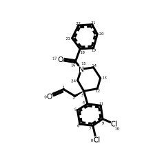 O=CC[C@]1(c2ccc(Cl)c(Cl)c2)CCCN(C(=O)c2ccccc2)C1